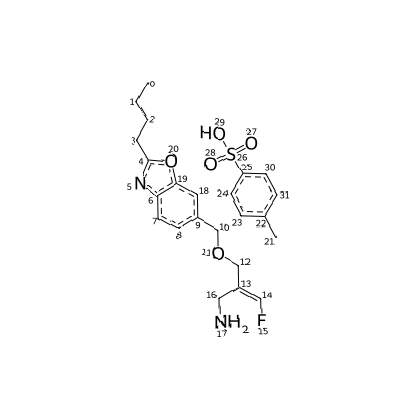 CCCCc1nc2ccc(COC/C(=C/F)CN)cc2o1.Cc1ccc(S(=O)(=O)O)cc1